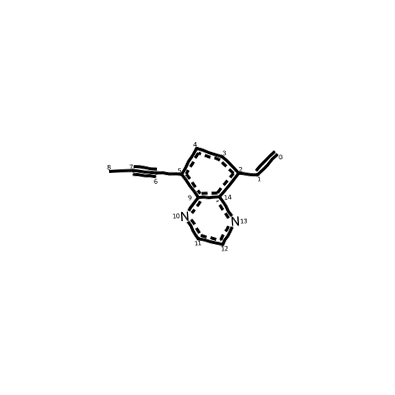 C=Cc1ccc(C#CC)c2nccnc12